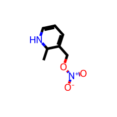 C[C]1NC=CC=C1CO[N+](=O)[O-]